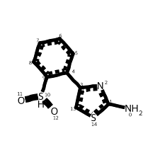 Nc1nc(-c2[c]cccc2[SH](=O)=O)cs1